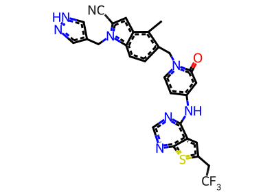 Cc1c(Cn2ccc(Nc3ncnc4sc(CC(F)(F)F)cc34)cc2=O)ccc2c1cc(C#N)n2Cc1cn[nH]c1